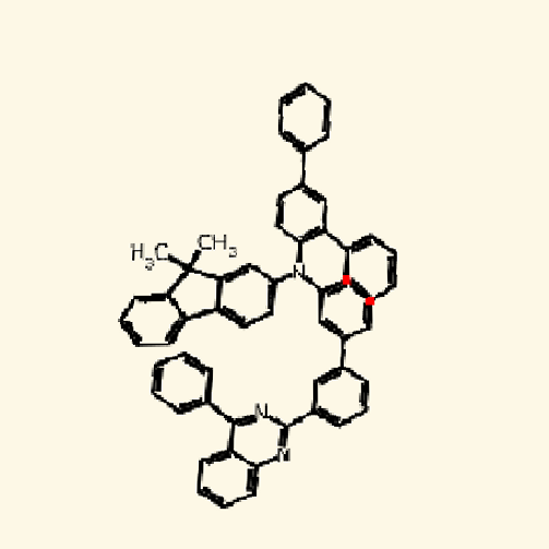 CC1(C)c2ccccc2-c2ccc(N(c3cccc(-c4cccc(-c5nc(-c6ccccc6)c6ccccc6n5)c4)c3)c3ccc(-c4ccccc4)cc3-c3ccccc3)cc21